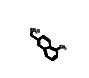 Cc1cccc2cc(CC(=O)O)ccc12